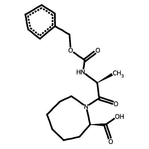 C[C@H](NC(=O)OCc1ccccc1)C(=O)N1CCCCCC[C@@H]1C(=O)O